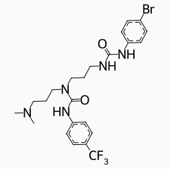 CN(C)CCCN(CCCNC(=O)Nc1ccc(Br)cc1)C(=O)Nc1ccc(C(F)(F)F)cc1